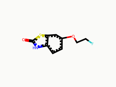 O=c1[nH]c2ccc(OCCF)cc2s1